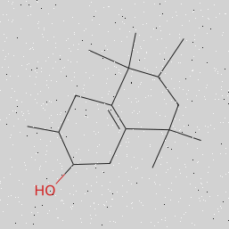 CC1CC2=C(CC1O)C(C)(C)CC(C)C2(C)C